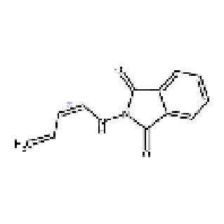 C=C/C=C\NN1C(=O)c2ccccc2C1=O